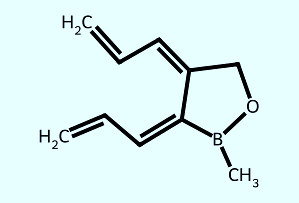 C=C/C=C1/B(C)OC/C1=C/C=C